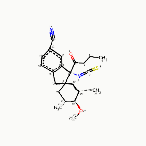 CCCC(=O)[C@]1(N=C=S)c2cc(C#N)ccc2C[C@@]12C[C@@H](C)[C@H](OC)[C@@H](C)C2